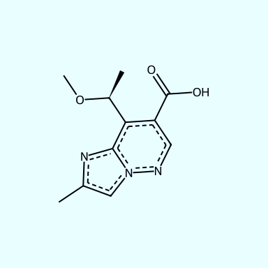 CO[C@@H](C)c1c(C(=O)O)cnn2cc(C)nc12